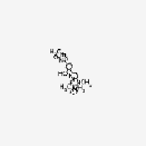 CN(c1ccc(-c2ccc(-c3ncn(C)c(=O)n3)cc2O)nn1)[C@@H]1CC2CC[C@@](C)([C@@H]1F)N2C